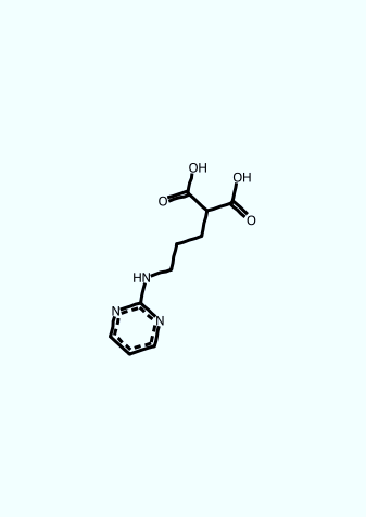 O=C(O)C(CCCNc1ncccn1)C(=O)O